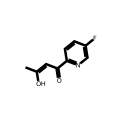 CC(O)=CC(=O)c1ccc(F)cn1